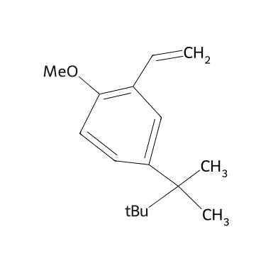 C=Cc1cc(C(C)(C)C(C)(C)C)ccc1OC